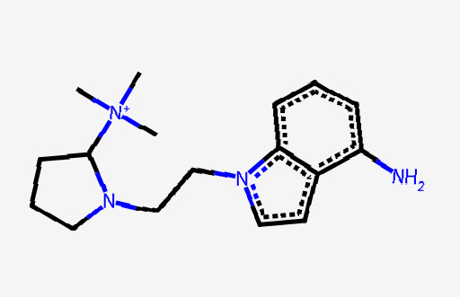 C[N+](C)(C)C1CCCN1CCn1ccc2c(N)cccc21